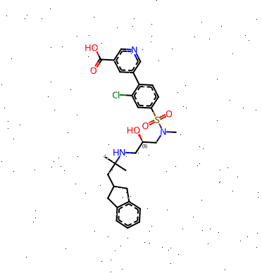 CN(C[C@H](O)CNC(C)(C)CC1Cc2ccccc2C1)S(=O)(=O)c1ccc(-c2cncc(C(=O)O)c2)c(Cl)c1